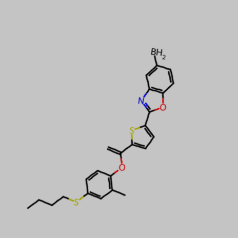 Bc1ccc2oc(-c3ccc(C(=C)Oc4ccc(SCCCC)cc4C)s3)nc2c1